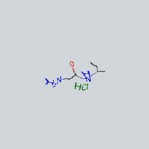 CC(C)NC(=O)CN.Cl